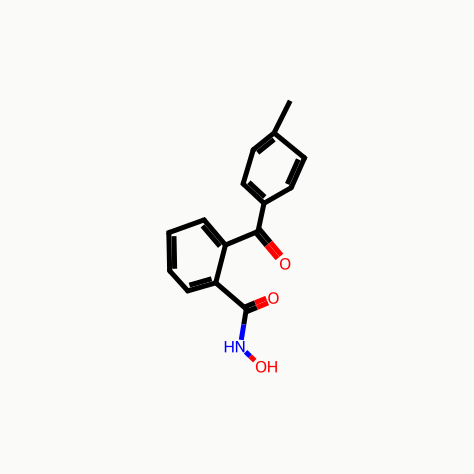 Cc1ccc(C(=O)c2ccccc2C(=O)NO)cc1